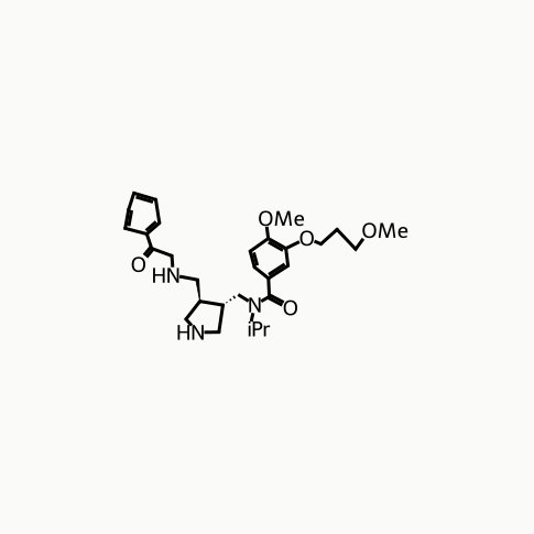 COCCCOc1cc(C(=O)N(C[C@@H]2CNC[C@H]2CNCC(=O)c2ccccc2)C(C)C)ccc1OC